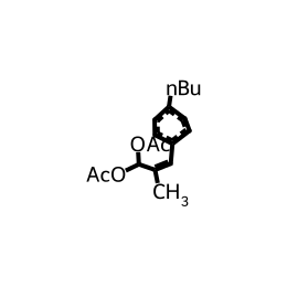 CCCCc1ccc(C=C(C)C(OC(C)=O)OC(C)=O)cc1